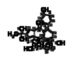 Cl.Cl.[CH2]=[Zr]([CH3])([C]1=CC(C(C)(C)C)=CC1CC)([c]1ccccc1)[c]1c(C)ccc2c1Cc1cc(C)ccc1-2